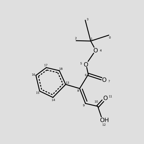 CC(C)(C)OOC(=O)C(=CC(=O)O)c1ccccc1